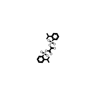 CC(C)c1ccccc1S(=O)(=O)OC(=O)C(=O)OS(=O)(=O)c1ccccc1C(C)C